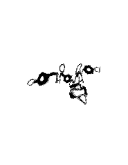 O=C(NCc1ccc(Cl)cc1)c1ccc(N(CCN2CCOCC2)C(=O)Nc2ccc(Cl)cc2)cc1